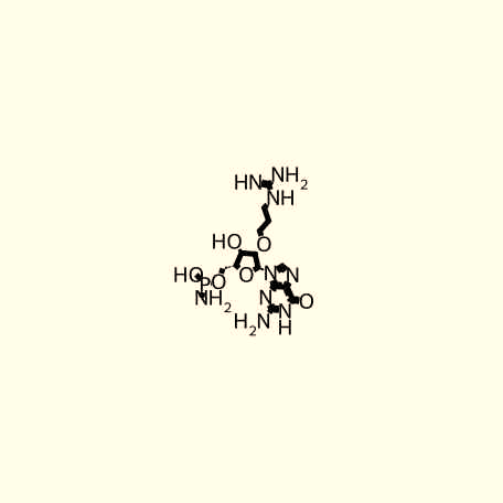 N=C(N)NCCCO[C@@H]1[C@H](O)[C@@H](COP(N)O)O[C@H]1n1cnc2c(=O)[nH]c(N)nc21